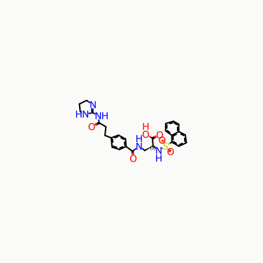 O=C(CCc1ccc(C(=O)NC[C@H](NS(=O)(=O)c2cccc3ccccc23)C(=O)O)cc1)NC1=NCCCN1